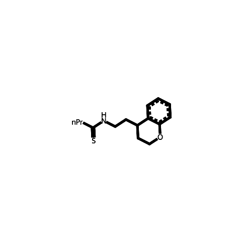 CCCC(=S)NCCC1CCOc2ccccc21